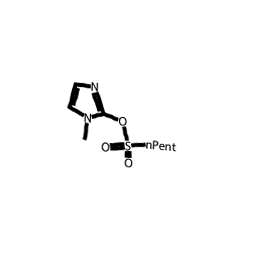 CCCCCS(=O)(=O)Oc1nccn1C